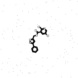 O=C(OCc1cc(-c2ccccc2)no1)c1cc(Cl)cnc1Cl